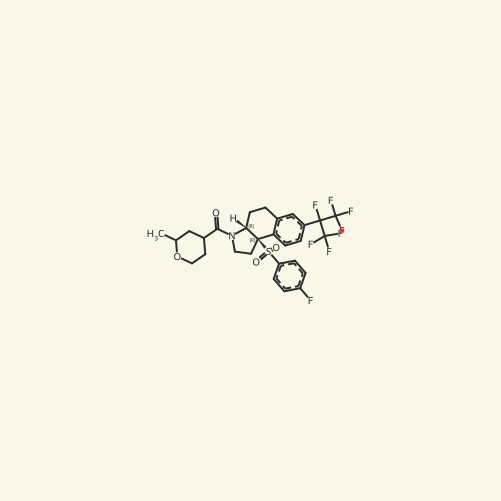 CC1CC(C(=O)N2CC[C@@]3(S(=O)(=O)c4ccc(F)cc4)c4ccc(C(F)(C(F)(F)F)C(F)(F)F)cc4CC[C@@H]23)CCO1